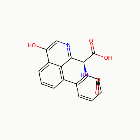 O=CN[C@H](C(=O)O)c1ncc(O)c2cccc(-c3ccccc3)c12